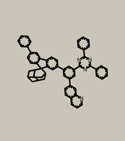 c1ccc(-c2ccc3c(c2)-c2ccc(-c4cc(-c5ccc6cccnc6c5)cc(-c5nc(-c6ccccc6)nc(-c6ccccc6)n5)c4)cc2C32C3CC4CC(C3)CC2C4)cc1